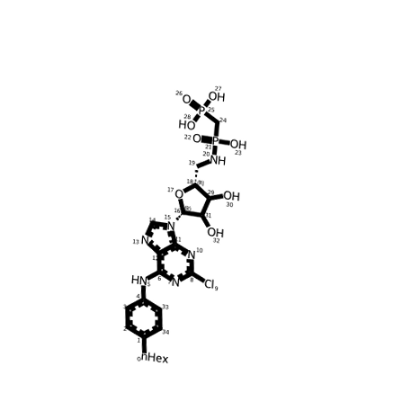 CCCCCCc1ccc(Nc2nc(Cl)nc3c2ncn3[C@@H]2O[C@H](CNP(=O)(O)CP(=O)(O)O)C(O)C2O)cc1